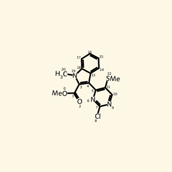 COC(=O)c1c(-c2nc(Cl)ncc2SC)c2ccccc2n1C